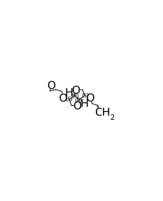 C=CCO[C@H]1CO[C@H]2[C@@H]1OC[C@@H]2OCC1CO1